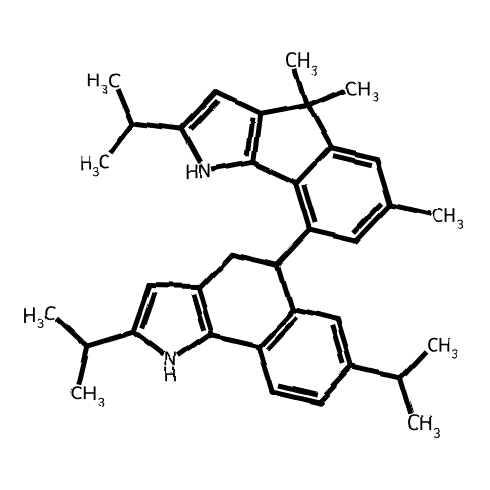 Cc1cc(C2Cc3cc(C(C)C)[nH]c3-c3ccc(C(C)C)cc32)c2c(c1)C(C)(C)c1cc(C(C)C)[nH]c1-2